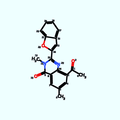 CC(=O)c1cc(C)cc2c(=O)n(C)c(-c3cc4ccccc4o3)nc12